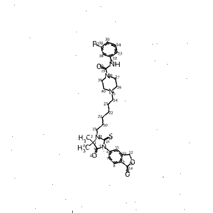 CC1(C)C(=O)N(c2ccc3c(c2)COC3=O)C(=S)N1CCCCCCN1CCN(C(=O)Nc2cccc(F)c2)CC1